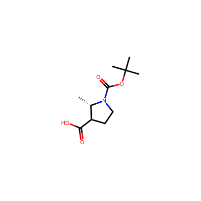 C[C@H]1C(C(=O)O)CCN1C(=O)OC(C)(C)C